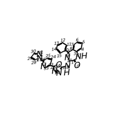 O=C1Nc2ccccc2C(c2ccccc2)=NC1Nc1nnc(-c2ccc(-n3cccn3)nc2)o1